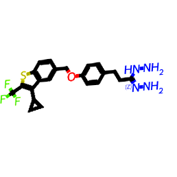 N/N=C(/CCc1ccc(OCc2ccc3sc(C(F)(F)F)c(C4CC4)c3c2)cc1)NN